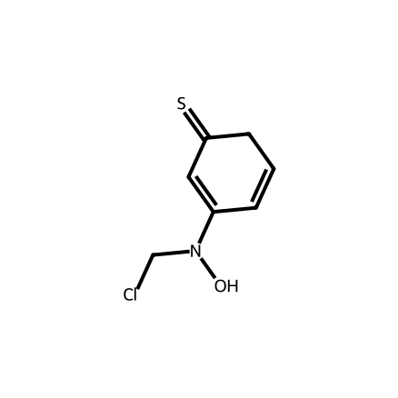 ON(CCl)C1=CC(=S)CC=C1